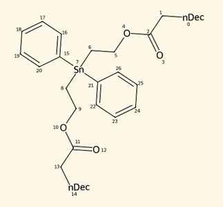 CCCCCCCCCCCC(=O)OC[CH2][Sn]([CH2]COC(=O)CCCCCCCCCCC)([c]1ccccc1)[c]1ccccc1